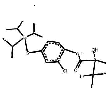 CC(C)[Si](Sc1ccc(NC(=O)C(C)(O)C(F)(F)F)c(Cl)c1)(C(C)C)C(C)C